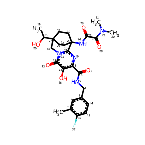 Cc1cc(CNC(=O)c2nc3n(c(=O)c2O)CC2(C(C)O)CCC3(NC(=O)C(=O)N(C)C)CC2)ccc1F